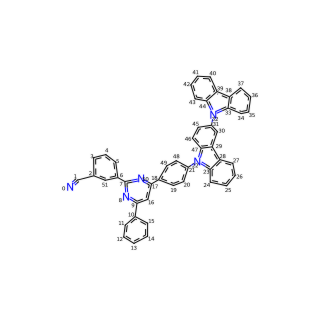 N#Cc1cccc(-c2nc(-c3ccccc3)cc(-c3ccc(-n4c5ccccc5c5cc(-n6c7ccccc7c7ccccc76)ccc54)cc3)n2)c1